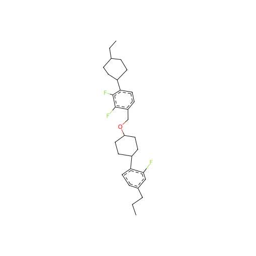 CCCc1ccc(C2CCC(OCc3ccc(C4CCC(CC)CC4)c(F)c3F)CC2)c(F)c1